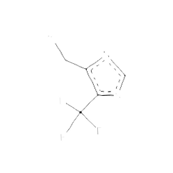 FC(F)(F)c1scnc1CBr